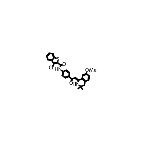 COc1ccc2c(c1)/C(=C/C(=O)c1ccc(NC(=O)c3sc4ccccc4c3Cl)cc1)NC(C)(C)C2